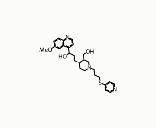 COc1ccc2nccc(C(O)CC[C@@H]3CCN(CCCSc4ccncc4)C[C@@H]3CO)c2c1